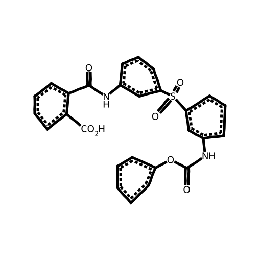 O=C(Nc1cccc(S(=O)(=O)c2cccc(NC(=O)c3ccccc3C(=O)O)c2)c1)Oc1ccccc1